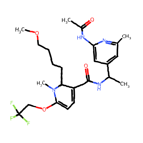 COCCCCC1C(C(=O)NC(C)c2cc(C)nc(NC(C)=O)c2)=CC=C(OCC(F)(F)F)N1C